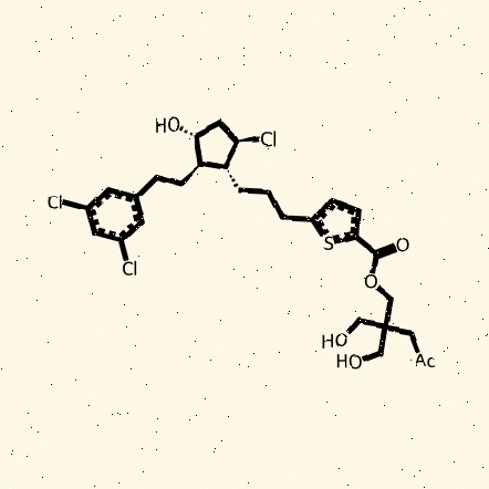 CC(=O)CC(CO)(CO)COC(=O)c1ccc(CCC[C@@H]2[C@@H](CCc3cc(Cl)cc(Cl)c3)[C@H](O)C[C@H]2Cl)s1